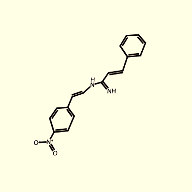 N=C(/C=C/c1ccccc1)N/C=C/c1ccc([N+](=O)[O-])cc1